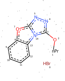 Br.CCCOc1nnc2oc3ccccc3n12